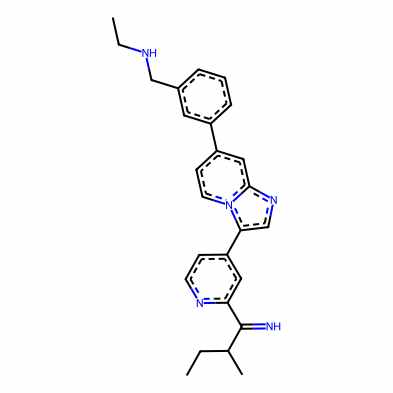 CCNCc1cccc(-c2ccn3c(-c4ccnc(C(=N)C(C)CC)c4)cnc3c2)c1